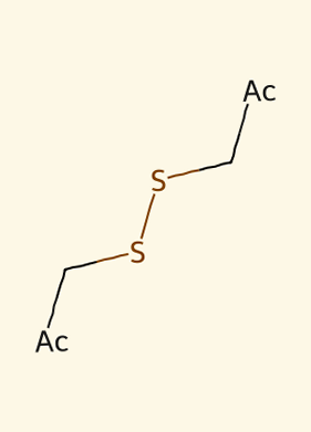 CC(=O)CSSCC(C)=O